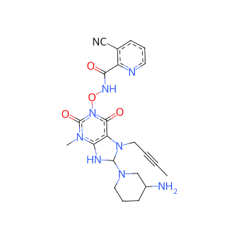 CC#CCN1c2c(n(C)c(=O)n(ONC(=O)c3ncccc3C#N)c2=O)NC1N1CCCC(N)C1